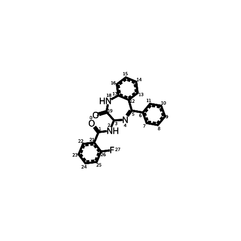 O=C(NC1N=C(c2ccccc2)c2ccccc2NC1=O)c1ccccc1F